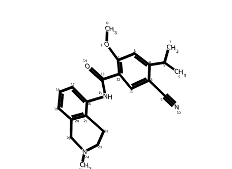 COc1cc(C(C)C)c(C#N)cc1C(=O)Nc1cccc2c1CCN(C)C2